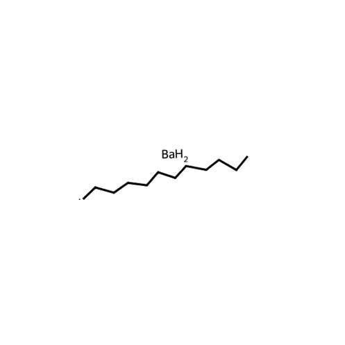 [BaH2].[CH2]CCCCCCCCCCC